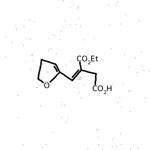 CCOC(=O)/C(=C\C1=CCCO1)CC(=O)O